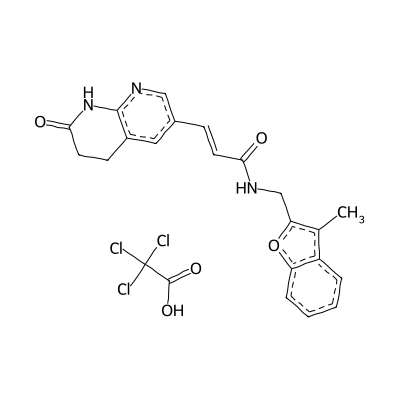 Cc1c(CNC(=O)C=Cc2cnc3c(c2)CCC(=O)N3)oc2ccccc12.O=C(O)C(Cl)(Cl)Cl